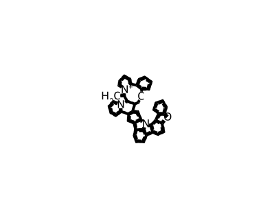 C=C1C2C(CCc3ccccc3-c3cccc[n+]31)c1cc3c(cc1-c1cccc[n+]12)c1cccc2c4ccc5oc6ccccc6c5c4n3c12